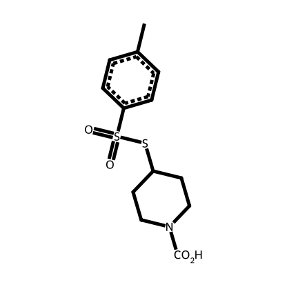 Cc1ccc(S(=O)(=O)SC2CCN(C(=O)O)CC2)cc1